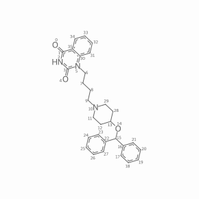 O=c1[nH]c(=O)n(CCCCN2CCC(OC(c3ccccc3)c3ccccc3)CC2)c2ccccc12